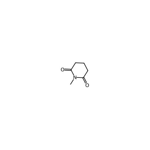 CN1C(=O)CCCC1=O